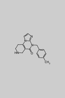 Cc1ccc(Cn2c(=O)c3c(n4ccnc24)CCNC3)cc1